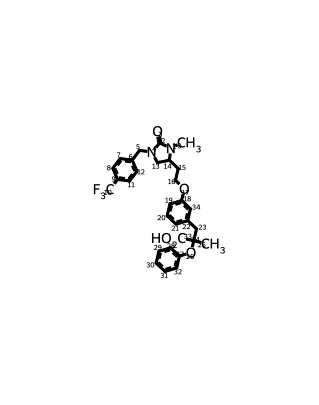 CN1C(=O)N(Cc2ccc(C(F)(F)F)cc2)CC1CCOc1cccc(CC(C)(Oc2ccccc2)C(=O)O)c1